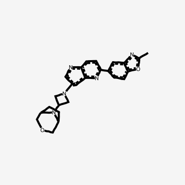 Cc1nc2cc(-c3ccc4ncc(N5CC(N6C7CCC6COC7)C5)cc4n3)ccc2o1